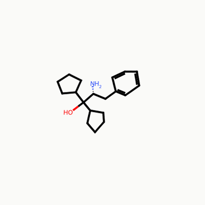 N[C@H](Cc1ccccc1)C(O)(C1CCCC1)C1CCCC1